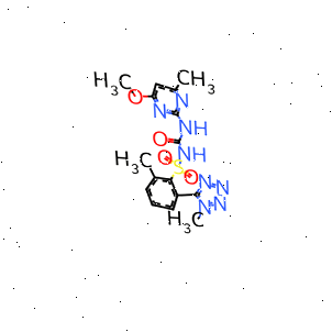 COc1cc(C)nc(NC(=O)NS(=O)(=O)c2c(C)cccc2-c2nnnn2C)n1